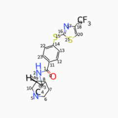 O=C(N[C@H]1CN2CCC1CC2)c1ccc(Sc2nc(C(F)(F)F)cs2)cc1